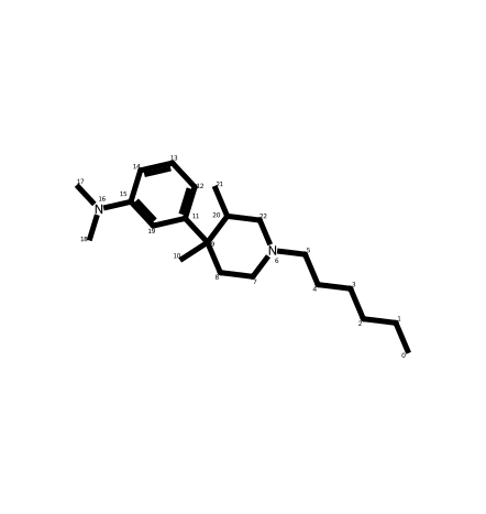 CCCCCCN1CCC(C)(c2cccc(N(C)C)c2)C(C)C1